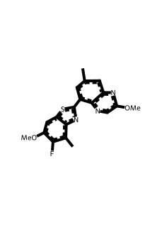 COc1cnc2c(-c3nc4c(C)c(F)c(OC)cc4s3)cc(C)cc2n1